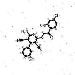 N#Cc1c(N)nc(SCC(=O)c2ccc(Cl)cc2Cl)c(C#N)c1-c1cccc(Cl)c1